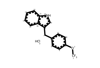 Cl.FC(F)(F)Oc1ccc([CH]c2c[nH]c3ccccc23)cc1